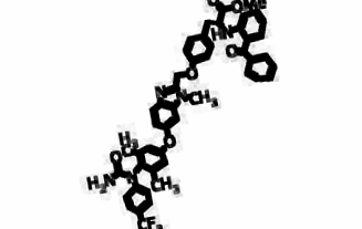 COC(=O)[C@H](Cc1ccc(OCc2nc3ccc(Oc4cc(C)c(N(C(N)=O)c5ccc(C(F)(F)F)cc5)c(C)c4)cc3n2C)cc1)Nc1ccccc1C(=O)c1ccccc1